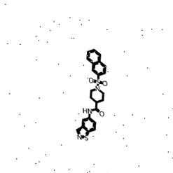 O=C(Nc1ccc2sncc2c1)C1CCN(S(=O)(=O)c2ccc3ccccc3c2)CC1